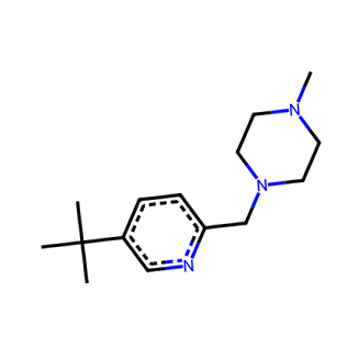 CN1CCN(Cc2ccc(C(C)(C)C)cn2)CC1